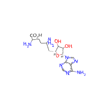 Nc1ncnc2c1ncn2[C@@H]1O[C@H](CC(N)CCC(N)C(=O)O)C(O)C1O